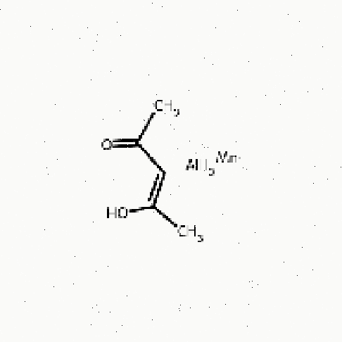 CC(=O)/C=C(/C)O.[AlH3].[Mn]